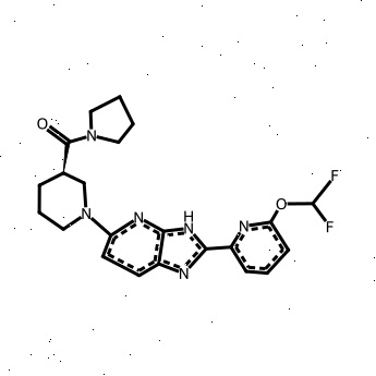 O=C([C@@H]1CCCN(c2ccc3nc(-c4cccc(OC(F)F)n4)[nH]c3n2)C1)N1CCCC1